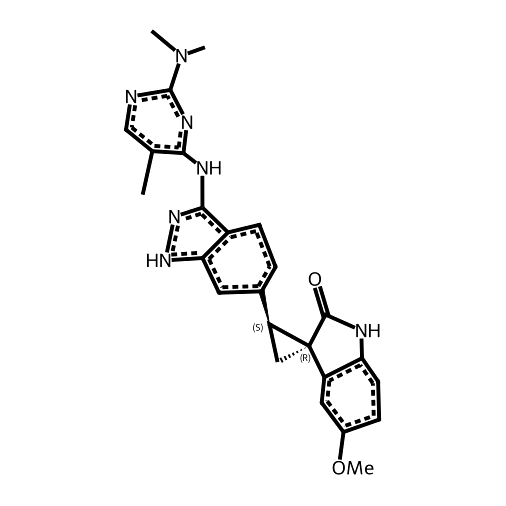 COc1ccc2c(c1)[C@]1(C[C@H]1c1ccc3c(Nc4nc(N(C)C)ncc4C)n[nH]c3c1)C(=O)N2